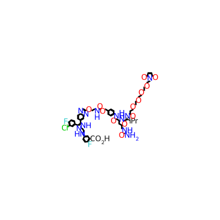 CC(C)[C@H](NC(=O)CCOCCOCCOCCOCCN1C(=O)C=CC1=O)C(=O)NC(CCCNC(N)=O)C(=O)Nc1ccc(COC(=O)NCCOc2cnc3ccc(-c4[nH]c(CNc5ccc(F)c(C(=O)O)c5)nc4-c4ccc(F)c(Cl)c4)cc3n2)cc1